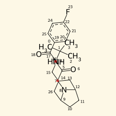 CC(C)(C)NC(=O)CN1C2CCC1CC(CNC(=O)c1ccc(F)cc1)C2